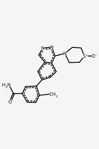 Cc1ccc(C(N)=O)cc1-c1ccc2c(N3CC[S+]([O-])CC3)nncc2c1